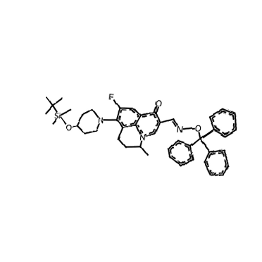 CC1CCc2c(N3CCC(O[Si](C)(C)C(C)(C)C)CC3)c(F)cc3c(=O)c(/C=N/OC(c4ccccc4)(c4ccccc4)c4ccccc4)cn1c23